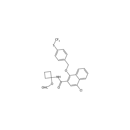 O=COC1(NC(=O)c2cc(Cl)c3ccccc3c2OCc2ccc(SC(F)(F)F)cc2)CCC1